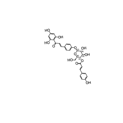 O=C(C=Cc1ccc(O)cc1)O[C@H]1[C@H](O)[C@@H](O)[C@H](Oc2ccc(C=CC(=O)c3c(O)cc(O)cc3O)cc2)O[C@@H]1CO